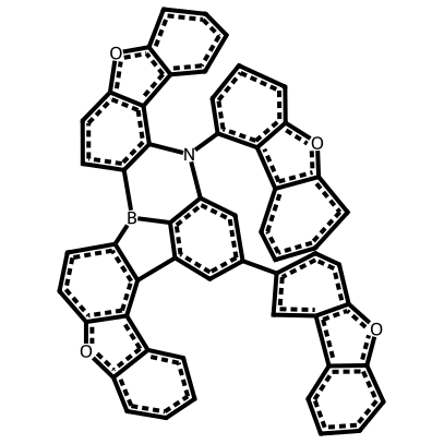 c1ccc2c(c1)oc1ccc(-c3cc4c5c(c3)N(c3cccc6oc7ccccc7c36)c3c(ccc6oc7ccccc7c36)B5c3ccc5oc6ccccc6c5c3-4)cc12